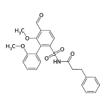 COc1ccccc1-c1c(S(=O)(=O)NC(=O)CCc2ccccc2)ccc(C=O)c1OC